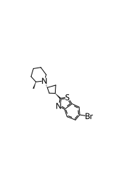 C[C@H]1CCCCN1[C@H]1C[C@H](c2nc3ccc(Br)cc3s2)C1